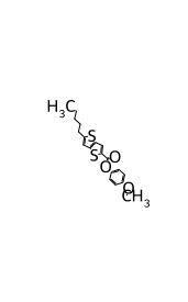 CCCCCc1cc2sc(C(=O)Oc3ccc(OC)cc3)cc2s1